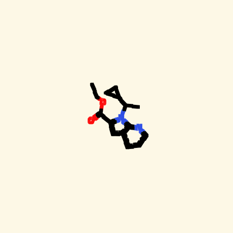 CCOC(=O)c1cc2cccnc2n1C(C)C1CC1